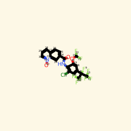 O=C(Nc1c(Cl)cc(C(F)(C(F)(F)F)C(F)(F)F)cc1OC(F)F)c1ccc2ccc[n+]([O-])c2c1